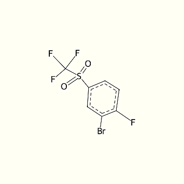 O=S(=O)(c1ccc(F)c(Br)c1)C(F)(F)F